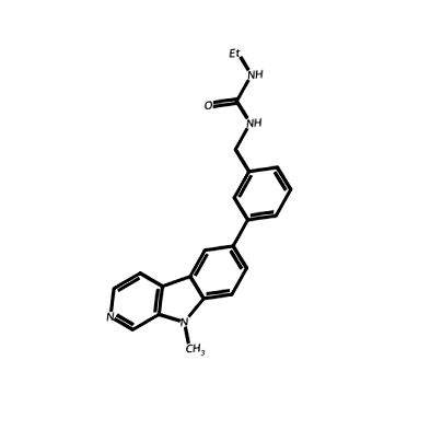 CCNC(=O)NCc1cccc(-c2ccc3c(c2)c2ccncc2n3C)c1